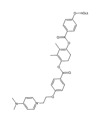 CCCCCCCCOc1ccc(C(=O)OC2=C(C)C(C)=C(OC(=O)c3ccc(OCC[n+]4ccc(N(C)C)cc4)cc3)CC2)cc1